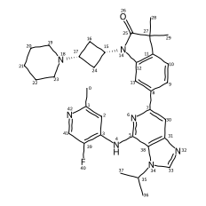 Cc1cc(Nc2nc(-c3ccc4c(c3)N([C@H]3C[C@@H](N5CCCCC5)C3)C(=O)C4(C)C)cc3ncn(C(C)C)c23)c(F)cn1